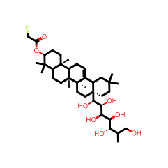 CC(CO)[C@H](O)C(O)C(O)[C@H](O)[C@@H](O)[C@]12CCC(C)(C)CC1C1=CCC3[C@@]4(C)CC[C@H](OC(=O)CF)C(C)(C)C4CC[C@@]3(C)[C@]1(C)CC2